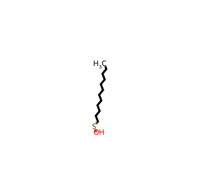 CCCCCCCCCCCCSO